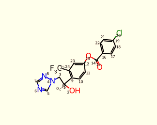 C[C@](O)(Cn1cncn1)c1ccc(OC(=O)c2ccc(Cl)cc2)cc1C(F)(F)F